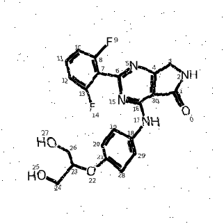 O=C1NCc2nc(-c3c(F)cccc3F)nc(Nc3ccc(OC(CO)CO)cc3)c21